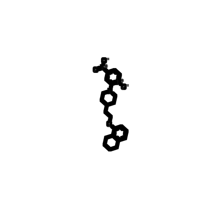 O=[N+]([O-])c1cc[n+]([O-])c(N2CCC(CCOc3cccc4c3CCCC4)CC2)c1